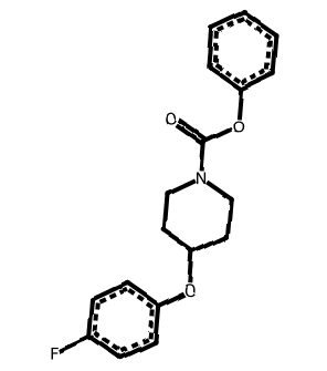 O=C(Oc1ccccc1)N1CCC(Oc2ccc(F)cc2)CC1